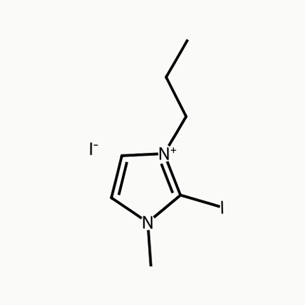 CCC[n+]1ccn(C)c1I.[I-]